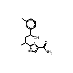 Cc1cccc(C(O)CC(C)c2nc(C(N)=O)c[nH]2)c1